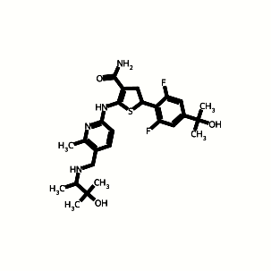 Cc1nc(NC2=C(C(N)=O)CC(c3c(F)cc(C(C)(C)O)cc3F)S2)ccc1CNC(C)C(C)(C)O